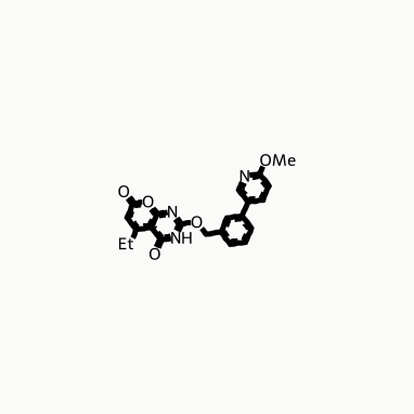 CCc1cc(=O)oc2nc(OCc3cccc(-c4ccc(OC)nc4)c3)[nH]c(=O)c12